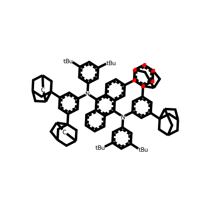 CC(C)(C)c1cc(N(c2cc(C34CC5CC(CC3C5)C4)cc(C34CC5CC(CC3C5)C4)c2)c2c3ccccc3c(N(c3cc(C(C)(C)C)cc(C(C)(C)C)c3)c3cc(C45CC6CC(CC4C6)C5)cc(C45CC6CC(CC4C6)C5)c3)c3cc(-c4ccccc4)ccc23)cc(C(C)(C)C)c1